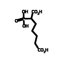 O=C(O)CCCCC(C(=O)O)P(=O)(O)O